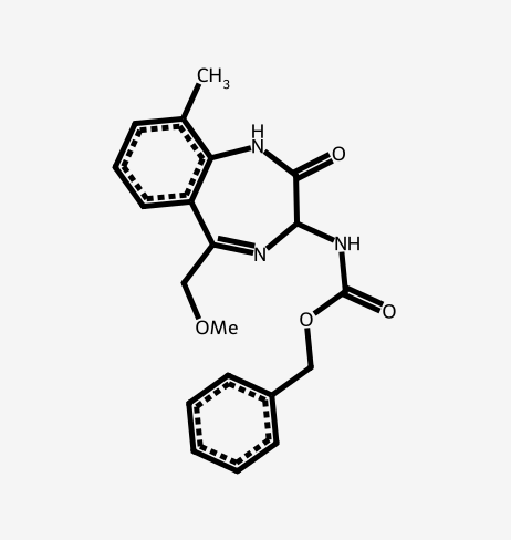 COCC1=NC(NC(=O)OCc2ccccc2)C(=O)Nc2c(C)cccc21